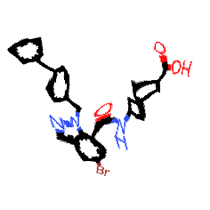 O=C(NC1CC2(C1)CC(C(=O)O)C2)c1cc(Br)cc2cnn(Cc3ccc(-c4ccccc4)cc3)c12